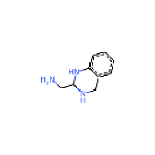 NCC1NCc2ccccc2N1